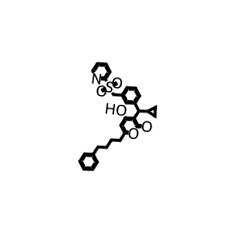 O=c1oc(CCCCc2ccccc2)cc(O)c1C(c1cccc(CS(=O)(=O)c2ccccn2)c1)C1CC1